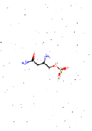 NC(=O)CC(N)CO[SH](=O)=O